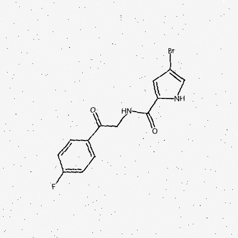 O=C(CNC(=O)c1cc(Br)c[nH]1)c1ccc(F)cc1